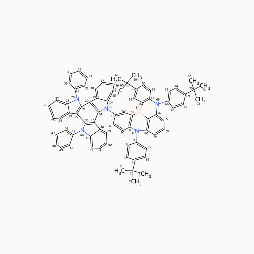 CC(C)(C)c1ccc(N2c3ccc(-n4c5ccccc5c5c6c(c7ccccc7n6-c6ccccc6)c6c(c7ccccc7n6-c6ccccc6)c54)cc3B3c4cc(C(C)(C)C)ccc4N(c4ccc(C(C)(C)C)cc4)c4cccc2c43)cc1